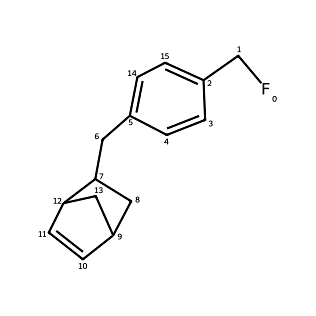 FCc1ccc(CC2CC3C=CC2C3)cc1